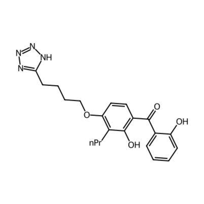 CCCc1c(OCCCCc2nnn[nH]2)ccc(C(=O)c2ccccc2O)c1O